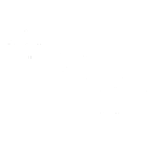 O=C(OCCOP(=O)(O)O)OCc1cc(=O)oc2ccccc12